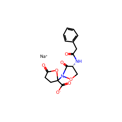 O=C(Cc1ccccc1)N[C@@H]1CON(C2(C(=O)[O-])CCC(=O)O2)C1=O.[Na+]